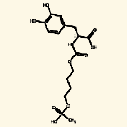 CP(=O)(O)OCCCCOC(=O)N[C@@H](Cc1ccc(O)c(O)c1)C(=O)O